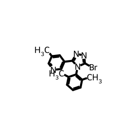 Cc1cncc(-c2nnc(Br)n2-c2c(C)cccc2C)c1